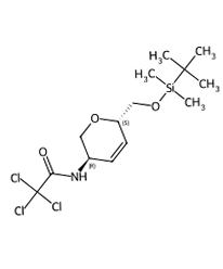 CC(C)(C)[Si](C)(C)OC[C@@H]1C=C[C@@H](NC(=O)C(Cl)(Cl)Cl)CO1